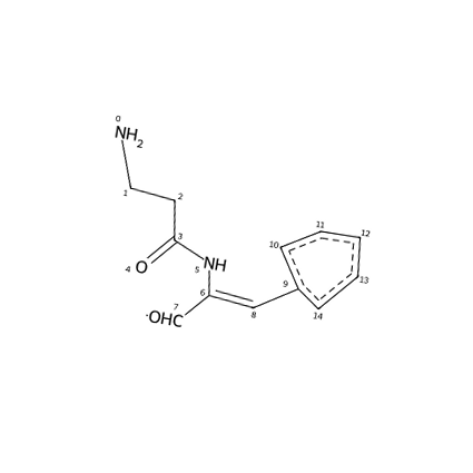 NCCC(=O)NC([C]=O)=Cc1ccccc1